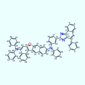 c1ccc(-c2cc3ccccc3c3c2=NC(c2cccc(N(c4ccccc4)c4ccc5cc6c(cc5c4)oc4cc(N(c5ccccc5)c5ccccc5)c5ccccc5c46)c2)N=3)cc1